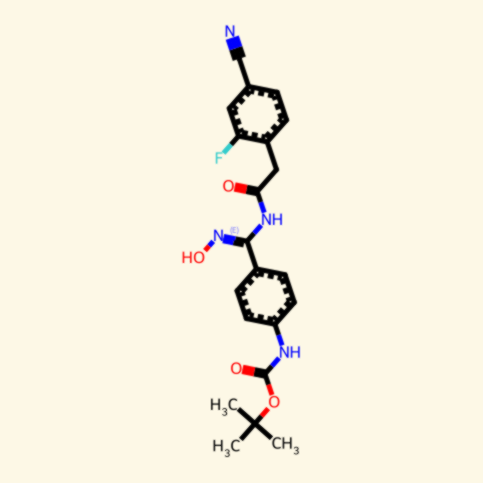 CC(C)(C)OC(=O)Nc1ccc(/C(=N\O)NC(=O)Cc2ccc(C#N)cc2F)cc1